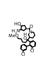 COCCCC[C@@](O)(c1cccc(Cl)c1-c1cccc(Cl)c1)C1CCCN(C(=O)[C@H]2C[C@@H](N)[C@@H](O)C2)C1